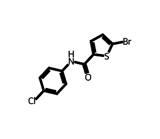 O=C(Nc1ccc(Cl)cc1)c1ccc(Br)s1